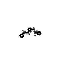 O=C(NNC(=O)c1cccc(C(=O)NNC(=O)c2ccccc2)c1)c1ccccc1